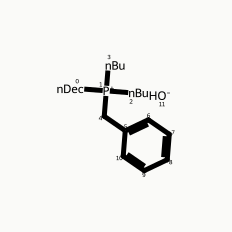 CCCCCCCCCC[P+](CCCC)(CCCC)Cc1ccccc1.[OH-]